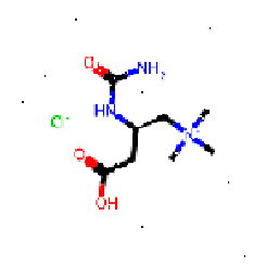 C[N+](C)(C)C[C@@H](CC(=O)O)NC(N)=O.[Cl-]